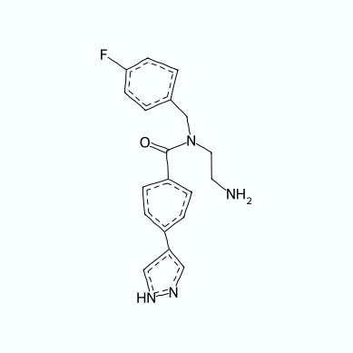 NCCN(Cc1ccc(F)cc1)C(=O)c1ccc(-c2cn[nH]c2)cc1